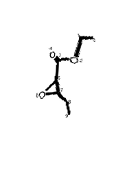 CCOC(=O)C1OC1CC